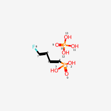 O=P(O)(O)C=CC=CF.O=P(O)(O)O